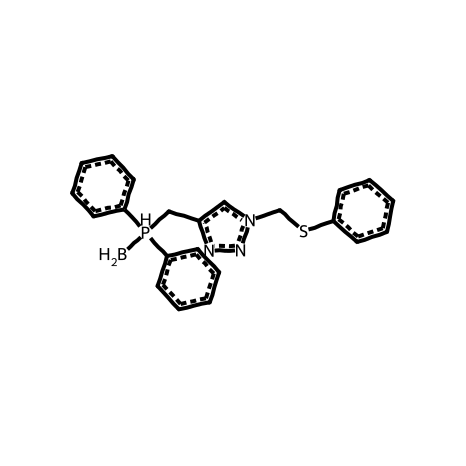 B[PH](Cc1cn(CSc2ccccc2)nn1)(c1ccccc1)c1ccccc1